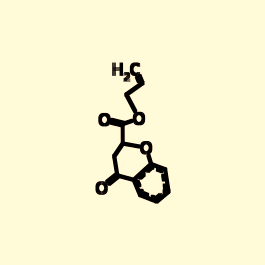 C=CCOC(=O)C1CC(=O)c2ccccc2O1